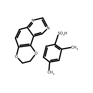 Cc1ccc(S(=O)(=O)O)c(C)c1.c1ncc2c3c(ccc2n1)OCCO3